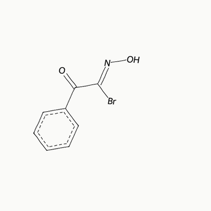 O=C(C(Br)=NO)c1ccccc1